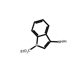 CCOC(=O)n1cc(NC(C)=O)c2ccccc21